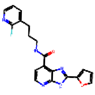 O=C(NCCCc1cccnc1F)c1ccnc2[nH]c(-c3ccco3)nc12